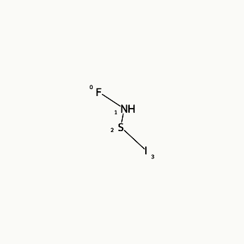 FNSI